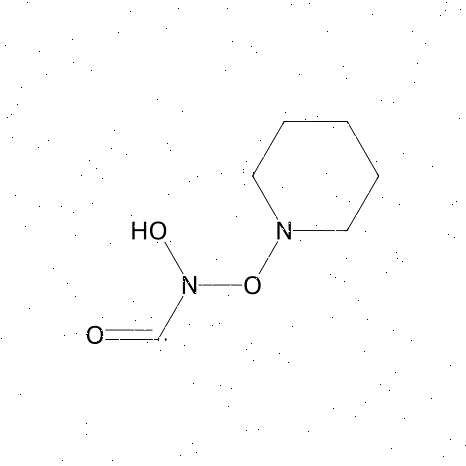 O=[C]N(O)ON1CCCCC1